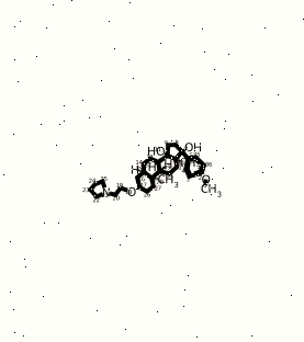 COc1ccc([C@@]2(O)CC[C@]3(O)[C@@H]4CC[C@@H]5C[C@@H](OCCN6CCCC6)CC[C@]5(C)[C@H]4CC[C@]23C)cc1